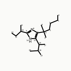 CCCCC(C)(C)c1nc(C(C)CC)[nH]c1C(C)C(C)C